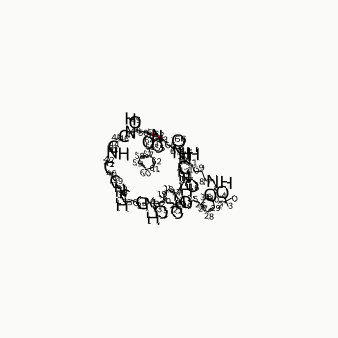 CC(C)(C)OC(=O)NCCCC[C@H]1CNC(=O)c2ccc(c(=O)n2OCc2ccccc2)C(=O)NCCCNCCCCNCCCNC(=O)c2ccc(n(OCc3ccccc3)c2=O)C(=O)N1